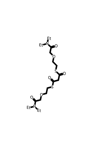 CCN(CC)C(=O)COCCSC(=O)CC(=O)SCCOCC(=O)N(CC)CC